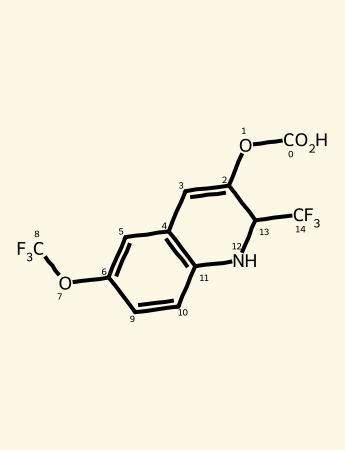 O=C(O)OC1=Cc2cc(OC(F)(F)F)ccc2NC1C(F)(F)F